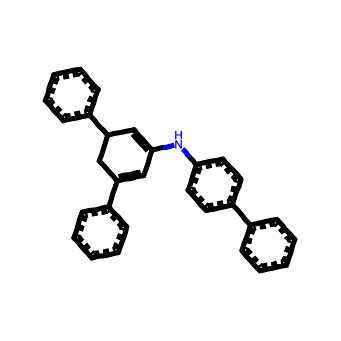 C1=C(Nc2ccc(-c3ccccc3)cc2)C=C(c2ccccc2)CC1c1ccccc1